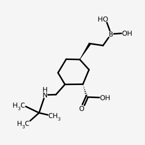 CC(C)(C)NCC1CC[C@@H](CCB(O)O)C[C@@H]1C(=O)O